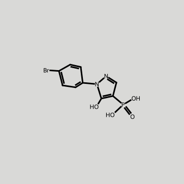 O=P(O)(O)c1cnn(-c2ccc(Br)cc2)c1O